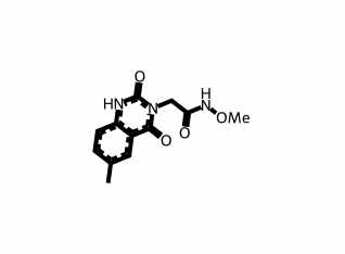 CONC(=O)Cn1c(=O)[nH]c2ccc(C)cc2c1=O